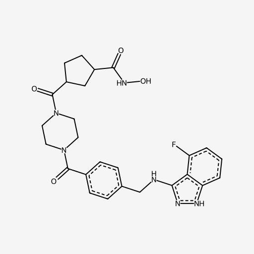 O=C(NO)C1CCC(C(=O)N2CCN(C(=O)c3ccc(CNc4n[nH]c5cccc(F)c45)cc3)CC2)C1